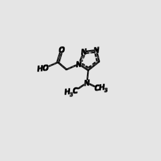 CN(C)c1cnnn1CC(=O)O